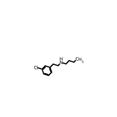 CCCCNCCc1cccc(Cl)c1